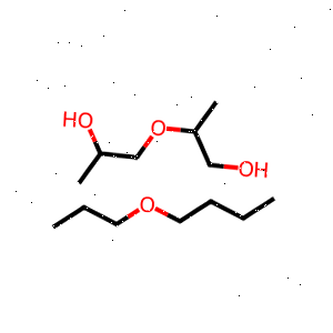 CC(O)COC(C)CO.CCCCOCCC